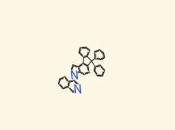 c1ccc(C2(c3ccccc3)c3ccccc3-c3c2ccc2c3ccn2-c2cncc3ccccc23)cc1